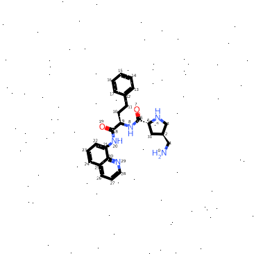 NC[C@@H]1CN[C@@H](C(=O)N[C@H](CCc2ccccc2)C(=O)Nc2cccc3cccnc23)C1